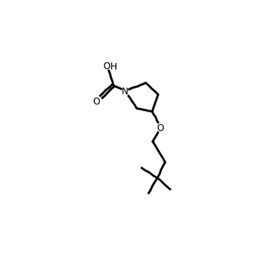 CC(C)(C)CCOC1CCN(C(=O)O)C1